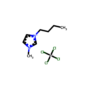 CCCC[n+]1ccn(C)c1.[Cl][In-]([Cl])([Cl])[Cl]